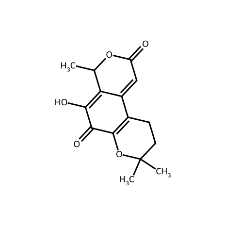 CC1OC(=O)C=C2C3=C(OC(C)(C)CC3)C(=O)C(O)=C21